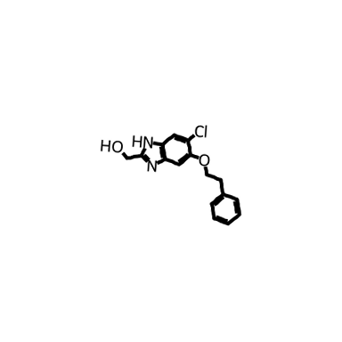 OCc1nc2cc(OCCc3ccccc3)c(Cl)cc2[nH]1